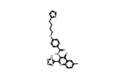 Cc1ccc2oc(-c3nnn[nH]3)c(NC(=O)c3ccc(OCCCCc4cccs4)cc3)c(=O)c2c1